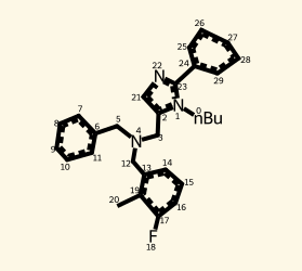 CCCCn1c(CN(Cc2ccccc2)Cc2cccc(F)c2C)cnc1-c1ccccc1